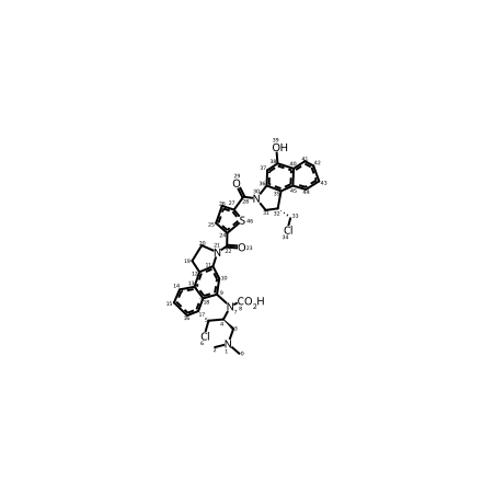 CN(C)C[C@@H](CCl)N(C(=O)O)c1cc2c(c3ccccc13)CCN2C(=O)c1ccc(C(=O)N2C[C@@H](CCl)c3c2cc(O)c2ccccc32)s1